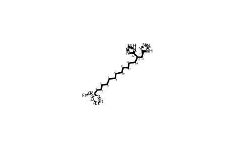 CCO[Si](CCCCCCCCCCCCC(Cc1nnn[nH]1)c1nnn[nH]1)(OCC)OCC